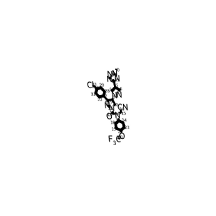 Cn1nnc(-c2cnn(C3CN(C(=O)N(CC#N)c4ccc(OC(F)(F)F)cc4)N=C3c3ccc(Cl)cc3)c2)n1